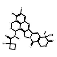 CC[C@@]1(O)C(=O)OCc2c1cc1n(c2=O)Cc2c-1nc1cc(F)c(C)c3c1c2[C@@H](N(C)C(=O)C1(O)CCC1)CC3